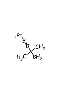 BC(C)(C)/B=B\C(C)C